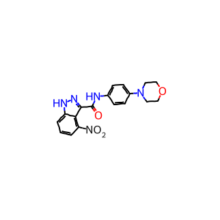 O=C(Nc1ccc(N2CCOCC2)cc1)c1n[nH]c2cccc([N+](=O)[O-])c12